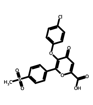 CS(=O)(=O)c1ccc(-c2oc(C(=O)O)cc(=O)c2Oc2ccc(Cl)cc2)cc1